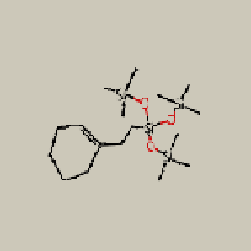 C[Si](C)(C)O[Si](CCC1=CCCCC1)(O[Si](C)(C)C)O[Si](C)(C)C